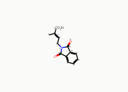 CCOC(=O)/C(C)=C/CN1C(=O)c2ccccc2C1=O